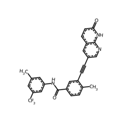 Cc1cc(NC(=O)c2ccc(C)c(C#Cc3cnc4[nH]c(=O)ccc4c3)c2)cc(C(F)(F)F)c1